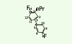 [CH2]CCc1cc(-c2ccc(F)cc2)ccc1F